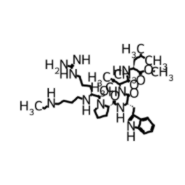 CCNCCCCN[C@@H](CCCNC(=N)N)C(=O)N1CCC[C@H]1C(=O)N[C@@H](Cc1c[nH]c2ccccc12)C(=O)N[C@H](C(=O)N[C@@H](CC(C)C)C(=O)OC)C(C)(C)C